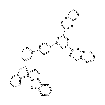 c1cc(-c2ccc(-c3cc(-c4cc5ccccc5cn4)nc(-c4ccc5ccccc5c4)n3)cc2)cc(-c2nc3ccccc3c3c2ccc2c4ccccc4oc23)c1